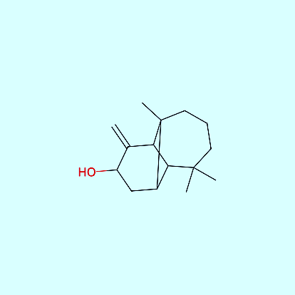 C=C1C(O)CC2C3C1C2(C)CCCC3(C)C